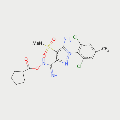 CNS(=O)(=O)c1c(C(=N)NOC(=O)C2CCCC2)nn(-c2c(Cl)cc(C(F)(F)F)cc2Cl)c1N